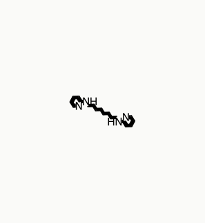 c1ccc(NCCCCCCCCNc2ccccn2)nc1